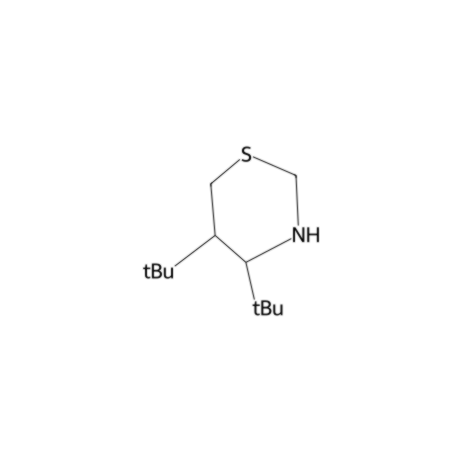 CC(C)(C)C1CSCNC1C(C)(C)C